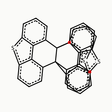 c1cc2c3c(c1)sc1cccc(c13)C13c4cccc5sc6cccc(c6c45)C21c1cccc2sc4cccc3c4c12